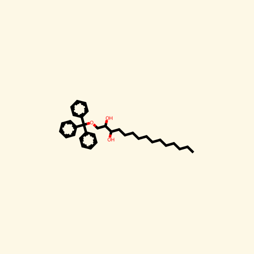 CCCCCCCCCCCCC(O)C(O)COC(c1ccccc1)(c1ccccc1)c1ccccc1